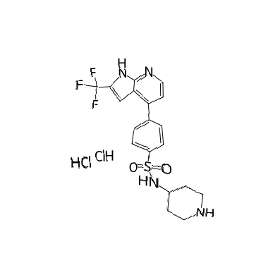 Cl.Cl.O=S(=O)(NC1CCNCC1)c1ccc(-c2ccnc3[nH]c(C(F)(F)F)cc23)cc1